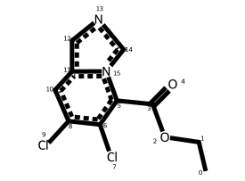 CCOC(=O)c1c(Cl)c(Cl)cc2cncn12